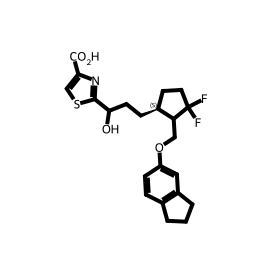 O=C(O)c1csc(C(O)CC[C@H]2CCC(F)(F)C2COc2ccc3c(c2)CCC3)n1